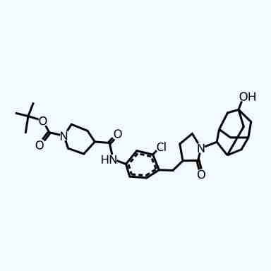 CC(C)(C)OC(=O)N1CCC(C(=O)Nc2ccc(CC3CCN(C4C5CC6CC4CC(O)(C6)C5)C3=O)c(Cl)c2)CC1